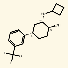 O[C@H]1CC[C@H](c2cccc(C(F)(F)F)c2)C[C@@H]1NC1CCC1